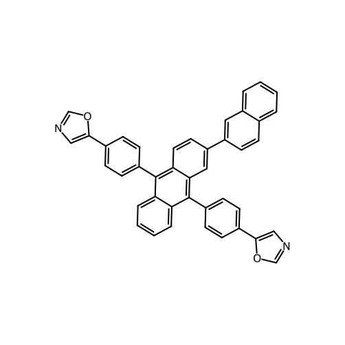 c1ccc2cc(-c3ccc4c(-c5ccc(-c6cnco6)cc5)c5ccccc5c(-c5ccc(-c6cnco6)cc5)c4c3)ccc2c1